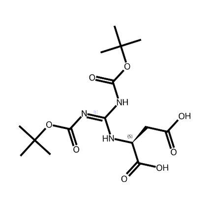 CC(C)(C)OC(=O)/N=C(/NC(=O)OC(C)(C)C)N[C@@H](CC(=O)O)C(=O)O